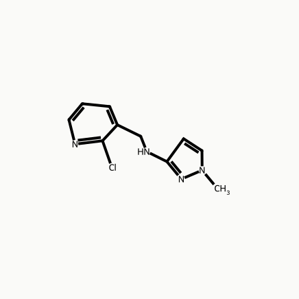 Cn1ccc(NCc2cccnc2Cl)n1